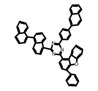 c1ccc(-c2ccc(-c3nc(-c4ccc(-c5ccc6ccccc6c5)cc4)nc(-c4cccc5c(-c6cccc7ccccc67)cccc45)n3)c3c2oc2ccccc23)cc1